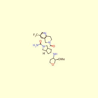 CO[C@H]1COCC[C@H]1N[C@@H]1C[C@H]2CN(C(N)=O)C[C@@]2(C(=O)N2CCc3ncc(C(F)(F)F)cc3C2)C1